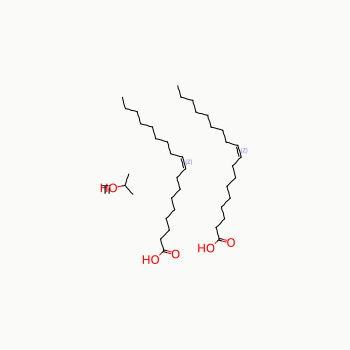 CC(C)O.CCCCCCCC/C=C\CCCCCCCC(=O)O.CCCCCCCC/C=C\CCCCCCCC(=O)O.[Ti]